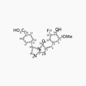 COc1cc(/C=c2/sc3ncc(-c4ccc(C(=O)O)cc4)n3c2=O)cc(F)c1O